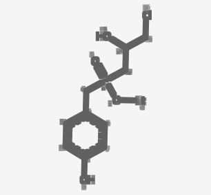 CCOP(=O)(Cc1ccc(O)cc1)CC(O)CCl